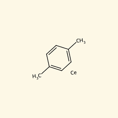 Cc1ccc(C)cc1.[Ce]